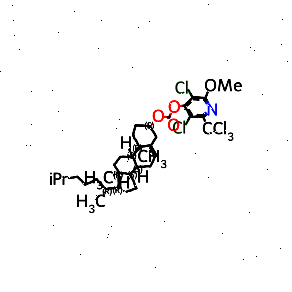 COc1nc(C(Cl)(Cl)Cl)c(Cl)c(OC(=O)O[C@H]2CC[C@@]3(C)C(=CC[C@H]4[C@@H]5CC[C@H]([C@H](C)CCCC(C)C)[C@@]5(C)CC[C@@H]43)C2)c1Cl